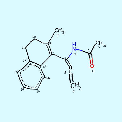 C=C=C(NC(C)=O)C1=C(C)CCc2ccccc21